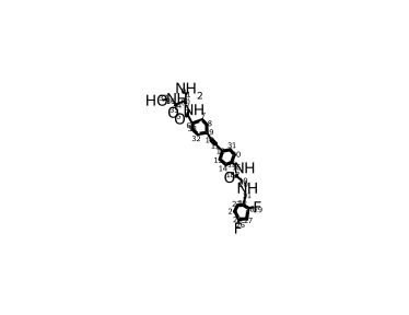 NC[C@H](NC(=O)c1ccc(C#Cc2ccc(NC(=O)CNCc3ccc(F)cc3F)cc2)cc1)C(=O)NO